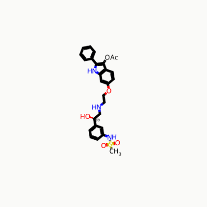 CC(=O)Oc1c(-c2ccccc2)[nH]c2cc(OCCNC[C@H](O)c3cccc(NS(C)(=O)=O)c3)ccc12